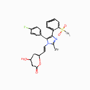 CC(C)c1nc(-c2ccccc2S(C)(=O)=O)c(-c2ccc(F)cc2)n1C=CC1CC(O)CC(=O)O1